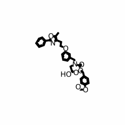 Cc1oc(-c2ccccc2)nc1CCOc1cccc(CN(CC(=O)O)C(=O)OCc2ccc3c(c2)OCO3)c1